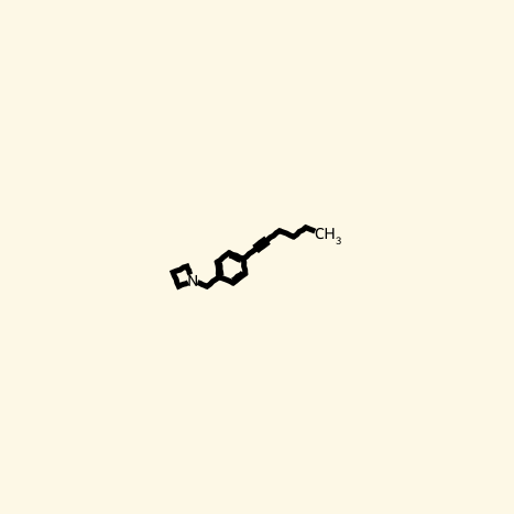 CCCCC#Cc1ccc(CN2CCC2)cc1